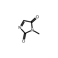 CN1C(=O)C=NC1=O